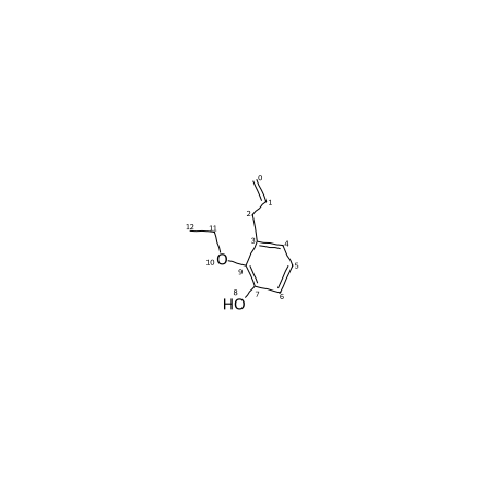 C=CCc1cccc(O)c1OCC